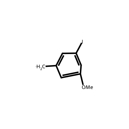 [CH2]c1cc(I)cc(OC)c1